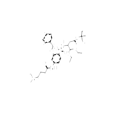 CCOC(OCC)C(CC(=O)OC(C)(C)C)NS(=O)(=O)c1ccc(NC(=O)CCCN(C)C)cc1OCc1ccccc1